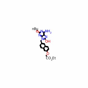 CCCCOc1nc(N)c2nc(O)n(Cc3ccc4cc(OCC(=O)OCC)ccc4c3)c2n1